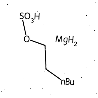 CCCCCCOS(=O)(=O)O.[MgH2]